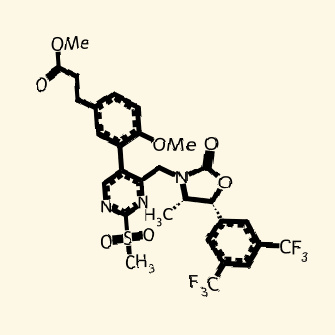 COC(=O)CCc1ccc(OC)c(-c2cnc(S(C)(=O)=O)nc2CN2C(=O)O[C@H](c3cc(C(F)(F)F)cc(C(F)(F)F)c3)[C@@H]2C)c1